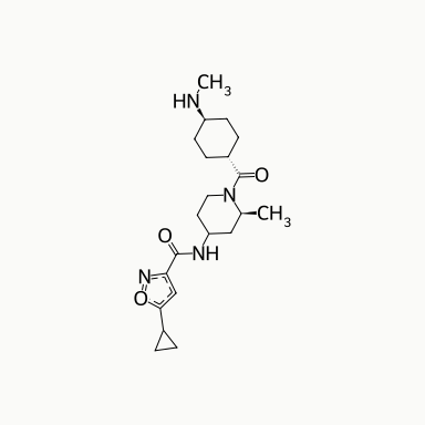 CN[C@H]1CC[C@H](C(=O)N2CCC(NC(=O)c3cc(C4CC4)on3)C[C@@H]2C)CC1